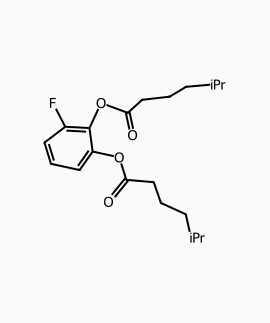 CC(C)CCCC(=O)Oc1cccc(F)c1OC(=O)CCCC(C)C